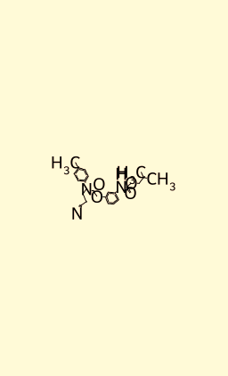 Cc1ccc(N(CCC#N)C(=O)Oc2cccc(NC(=O)OCC(C)C)c2)cc1